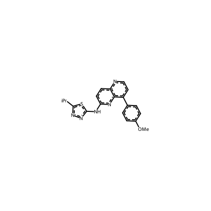 COc1ccc(-c2ccnc3ccc(Nc4nnc(C(C)C)s4)nc23)cc1